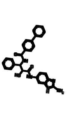 Nc1nc2ccc(NC(=O)C(O)C(NC(=O)c3ccc(-c4ccccc4)cc3)c3ccccc3)cc2[nH]1